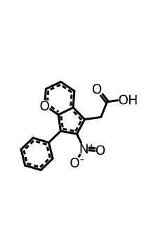 O=C(O)Cc1c2cccoc-2c(-c2ccccc2)c1[N+](=O)[O-]